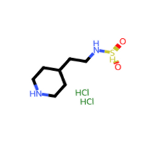 Cl.Cl.O=[SH](=O)NCCC1CCNCC1